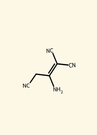 N#CCC(N)=C(C#N)C#N